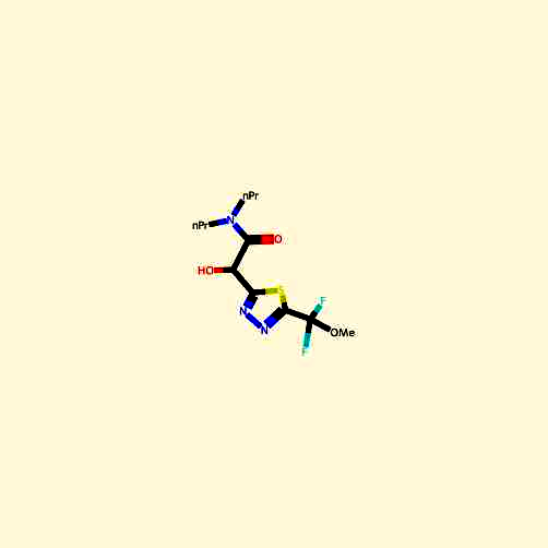 CCCN(CCC)C(=O)C(O)c1nnc(C(F)(F)OC)s1